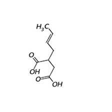 C/C=C/CC(CC(=O)O)C(=O)O